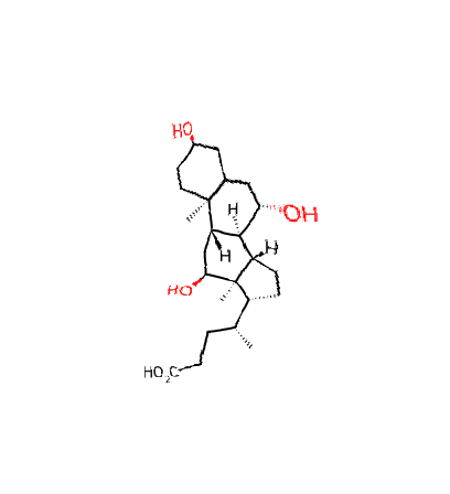 C[C@H](CCC(=O)O)[C@H]1CC[C@H]2[C@@H]3[C@@H](O)CC4C[C@H](O)CC[C@]4(C)[C@H]3C[C@H](O)[C@]12C